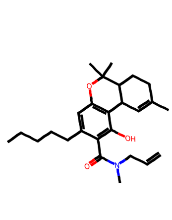 C=CCN(C)C(=O)c1c(CCCCC)cc2c(c1O)C1C=C(C)CCC1C(C)(C)O2